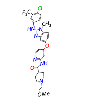 COCCN1CCC(C(=O)Nc2cc(Oc3ccc4c(c3)nc(Nc3ccc(Cl)c(C(F)(F)F)c3)n4C)ccn2)CC1